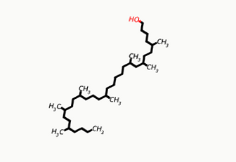 CCCCC(C)CCC(C)CCC(C)CCCC(C)CCCCCC(C)CC(C)CCC(C)CCCCO